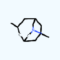 CC1CC2CCCC(C1)CN(C)C2